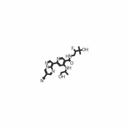 CC(CO)Nc1cc(-c2cnn3cc(C#N)cnc23)ncc1C(=O)NCC(F)C(C)(C)O